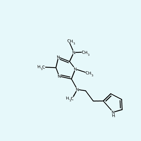 CC1N=C(N(C)C)N(C)C(N(C)CCc2ccc[nH]2)=N1